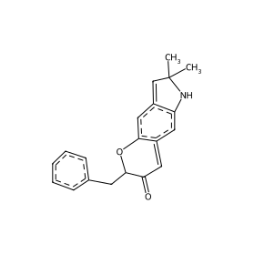 CC1(C)C=c2cc3c(cc2N1)=CC(=O)C(Cc1ccccc1)O3